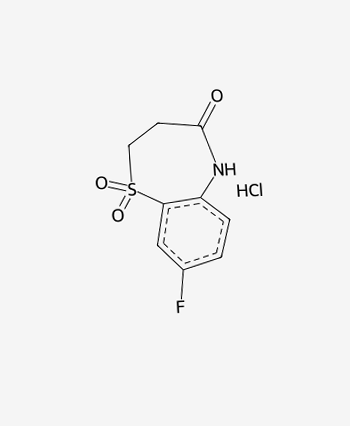 Cl.O=C1CCS(=O)(=O)c2cc(F)ccc2N1